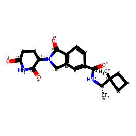 CC1([C@@H](NC(=O)c2ccc3c(c2)CN(C2CCC(=O)NC2=O)C3=O)C(F)(F)F)CCC1